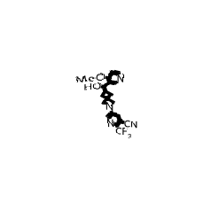 COc1ccncc1C(O)C1CC2(C1)CN(c1cnc(C(F)(F)F)c(C#N)c1)C2